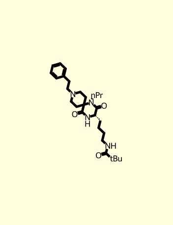 CCCN1C(=O)[C@H](CCCCNC(=O)C(C)(C)C)NC(=O)C12CCN(CCc1ccccc1)CC2